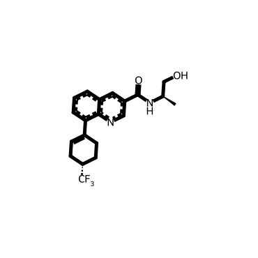 C[C@H](CO)NC(=O)c1cnc2c(C3=CC[C@@H](C(F)(F)F)CC3)cccc2c1